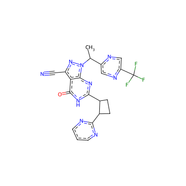 CC(c1cnc(C(F)(F)F)cn1)n1nc(C#N)c2c(=O)[nH]c(C3CCC3c3ncccn3)nc21